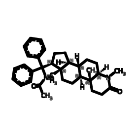 CC(=O)NC(c1ccccc1)(c1ccccc1)[C@H]1CC[C@H]2[C@@H]3CC[C@H]4N(C)C(=O)CC[C@]4(C)[C@H]3CC[C@]12C